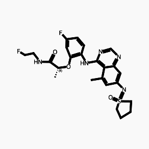 Cc1cc(N=S2(=O)CCCC2)cc2ncnc(Nc3ccc(F)cc3O[C@H](C)C(=O)NCCF)c12